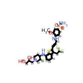 COc1cc(S(N)(=O)=O)ccc1NCC#Cc1sc2c(NC3CCN(CC(O)CO)CC3F)cccc2c1CC(F)F